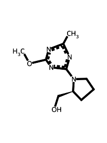 COc1nc(C)nc(N2CCC[C@H]2CO)n1